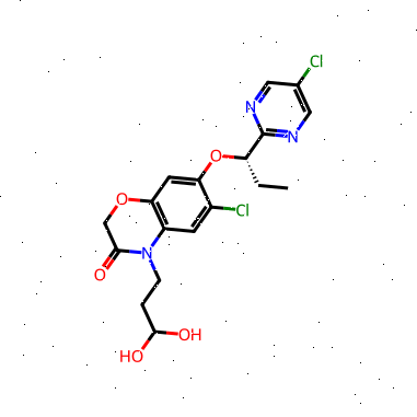 CC[C@H](Oc1cc2c(cc1Cl)N(CCC(O)O)C(=O)CO2)c1ncc(Cl)cn1